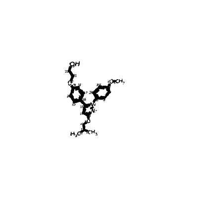 COc1ccc(-n2nc(OCC(C)C)cc2-c2ccc(OCCO)cc2)cc1